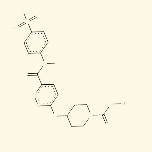 CC(C)(C)OC(=O)N1CCC(Oc2ccc(C(=O)N(F)c3ccc(S(C)(=O)=O)cc3)nn2)CC1